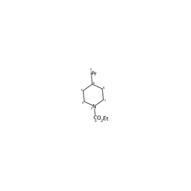 CCOC(=O)N1CCC(C(C)C)CC1